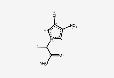 COC(=O)C(C)n1cc([N+](=O)[O-])c(Cl)n1